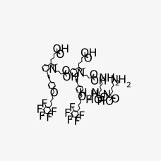 Cc1c(CCCC(=O)O)c2cccc(C#Cc3ccc(OCCCCc4c(F)c(F)c(F)c(F)c4F)cc3)c2n1CCCC(=O)O.Cc1c(CCCC(=O)O)c2cccc(C#Cc3ccc(OCCCCc4c(F)c(F)c(F)c(F)c4F)cc3)c2n1CCCC(=O)O.NCCCCC(N)C(=O)O.NCCCCC(N)C(=O)O